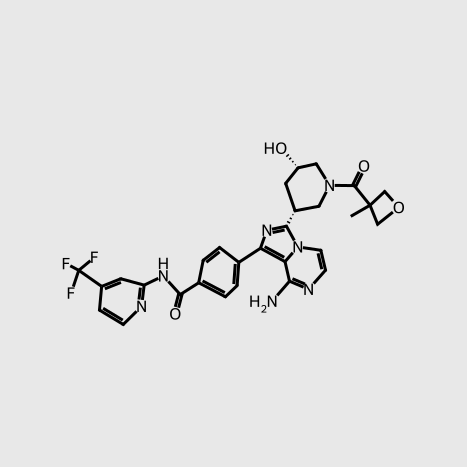 CC1(C(=O)N2C[C@@H](O)C[C@@H](c3nc(-c4ccc(C(=O)Nc5cc(C(F)(F)F)ccn5)cc4)c4c(N)nccn34)C2)COC1